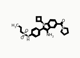 CCCS(=O)(=O)Nc1ccc(-c2c(N)c3cc(C(=O)N4CCCC4)ccc3n2C2CCC2)cc1